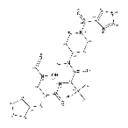 CN(C(=O)[C@@H](NC(=O)[C@H](CC1CCCC1)CN(O)C=O)C(C)(C)C)C1CCN(C(=O)c2csnn2)CC1